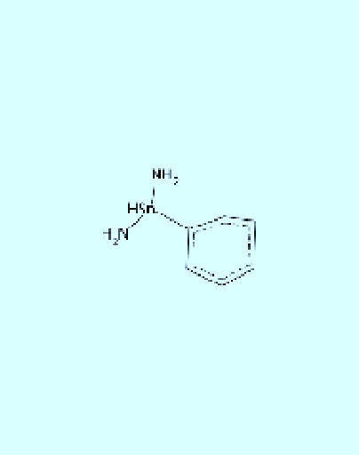 [NH2][SnH]([NH2])[c]1ccccc1